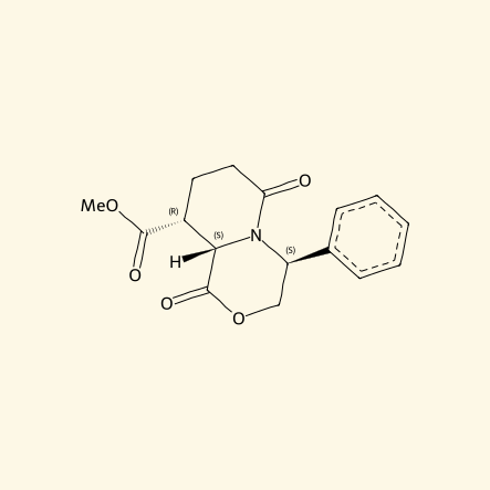 COC(=O)[C@@H]1CCC(=O)N2[C@@H](c3ccccc3)COC(=O)[C@H]12